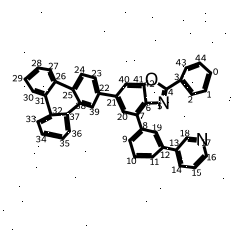 c1ccc(-c2nc3c(-c4cccc(-c5cccnc5)c4)cc(-c4ccc5c6ccccc6c6ccccc6c5c4)cc3o2)cc1